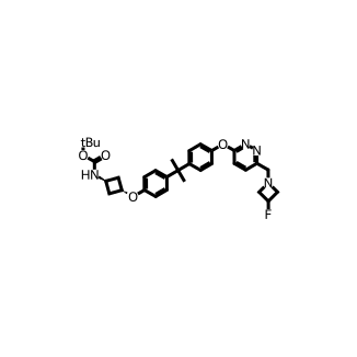 CC(C)(C)OC(=O)N[C@H]1C[C@H](Oc2ccc(C(C)(C)c3ccc(Oc4ccc(CN5CC(F)C5)nn4)cc3)cc2)C1